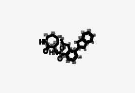 CCCc1c(C2=Cc3ccccc3C2)cccc1S(=O)(=O)N[C@@H]1CCCCNC1=O